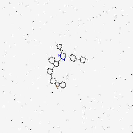 c1ccc(-c2ccc(-c3cc(-c4ccccc4)nc(-c4ccc(-c5cccc(-c6ccc7sc8ccccc8c7c6)c5)c5ccccc45)n3)cc2)cc1